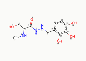 CNC(CO)C(=O)NNCc1ccc(O)c(O)c1O